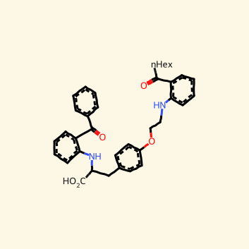 CCCCCCC(=O)c1ccccc1NCCOc1ccc(CC(Nc2ccccc2C(=O)c2ccccc2)C(=O)O)cc1